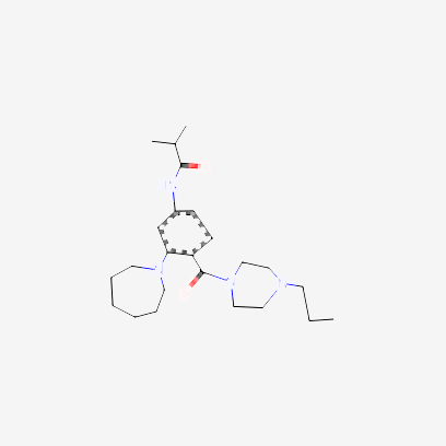 CCCN1CCN(C(=O)c2ccc(NC(=O)C(C)C)cc2N2CCCCCC2)CC1